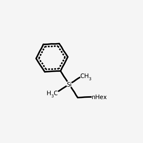 [CH2]CCCCCC[Si](C)(C)c1ccccc1